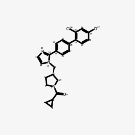 O=C(C1CC1)N1CC[C@@H](Cn2ccnc2-c2ccc(-c3ccc(Cl)cc3Cl)cc2)C1